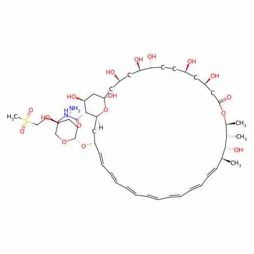 C[C@@H]1[C@H](O)[C@@H](C)/C=C/C=C/C=C/C=C/C=C/C=C/C=C/[C@H](O[C@H]2C[C@@H](N)[C@H](O)CO2)C[C@@H]2O[C@](O)(C[C@@H](O)C[C@@H](O)[C@H](O)CC[C@@H](O)C[C@@H](O)CC(=O)O[C@H]1C)C[C@H](O)[C@H]2C(=O)NCCCS(C)(=O)=O